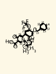 CC1(C)CC[C@@H]2c3cc(OCc4ccccc4)c(OC(F)(F)F)cc3-c3cc(=O)c(C(=O)O)cn3N21